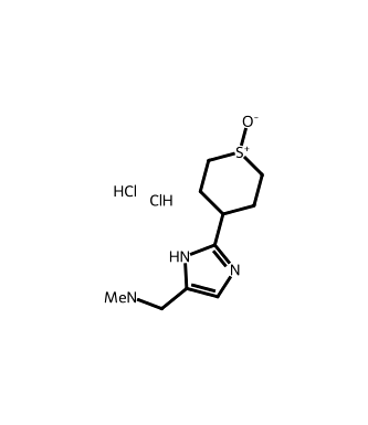 CNCc1cnc(C2CC[S+]([O-])CC2)[nH]1.Cl.Cl